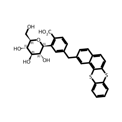 O=C(O)c1ccc(Cc2ccc3ccc4c(c3c2)Sc2ccccc2S4)cc1[C@@H]1O[C@H](CO)[C@@H](O)[C@H](O)[C@H]1O